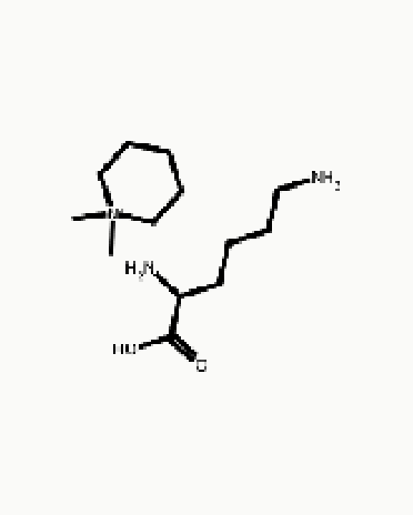 C[N+]1(C)CCCCC1.NCCCCC(N)C(=O)O